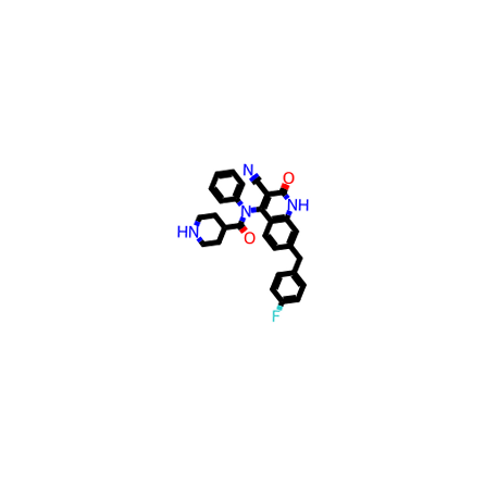 N#Cc1c(N(C(=O)C2CCNCC2)c2ccccc2)c2ccc(Cc3ccc(F)cc3)cc2[nH]c1=O